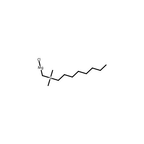 CCCCCCCC[Si](C)(C)[CH2][Mg][Cl]